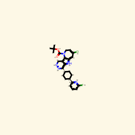 CC(C)(C)OC(=O)N1CC=C(Cl)C=c2[nH]c3c(c21)CN=NC=3[C@H]1CC[C@H](c2cccc(F)n2)CC1